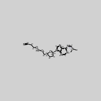 CN(C)/C=N\c1ncnc2c1ncn2[C@H]1CC[C@@H](COPOCCC#N)O1